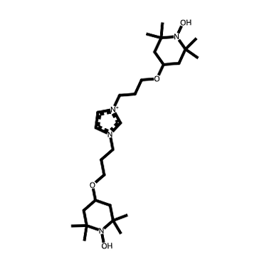 CC1(C)CC(OCCCn2cc[n+](CCCOC3CC(C)(C)N(O)C(C)(C)C3)c2)CC(C)(C)N1O